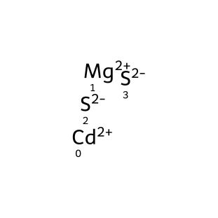 [Cd+2].[Mg+2].[S-2].[S-2]